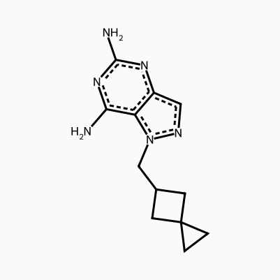 Nc1nc(N)c2c(cnn2CC2CC3(CC3)C2)n1